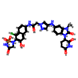 Cn1c(=O)n(C2CCC(=O)NC2=O)c2ccc(Nc3cnn(CC(=O)Nc4ccc5c(F)c(N6CC(=O)NS6(=O)=O)c(O)cc5c4)c3)cc21